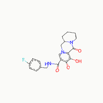 O=C(NCc1ccc(F)cc1)c1cn2c(c(O)c1=O)C(=O)N1CCCCC1C2